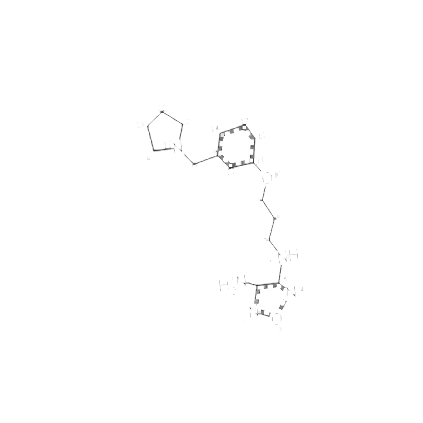 Nc1nonc1NCCCOc1cccc(CN2CCCC2)c1